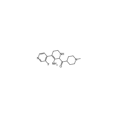 CN1CCC(C(=O)C2NCCC(c3ccncc3F)=C2N)CC1